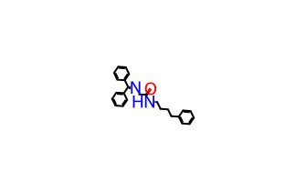 O=C(CN=C(c1ccccc1)c1ccccc1)NCCCCc1ccccc1